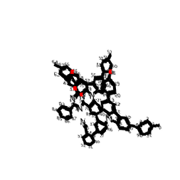 Cc1ccc(-c2ccc3c(c2)c2cc(-c4ccc(C)cc4)ccc2n3-c2ccc(-c3ccccc3C#N)cc2-c2ccc(-n3c4ccc(-c5ccc(C)cc5)cc4c4cc(-c5ccc(C)cc5)ccc43)c(-c3nc(-c4ccccc4)nc(-c4ccccc4)n3)c2)cc1